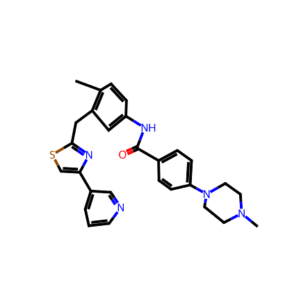 Cc1ccc(NC(=O)c2ccc(N3CCN(C)CC3)cc2)cc1Cc1nc(-c2cccnc2)cs1